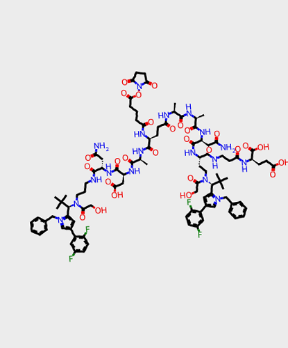 C[C@H](NC(=O)CC[C@H](NC(=O)CCCC(=O)ON1C(=O)CCC1=O)C(=O)N[C@@H](C)C(=O)N[C@@H](CC(=O)O)C(=O)N[C@@H](CC(N)=O)C(=O)NCCCN(C(=O)CO)[C@@H](c1cc(-c2cc(F)ccc2F)cn1Cc1ccccc1)C(C)(C)C)C(=O)N[C@@H](C)C(=O)N[C@@H](CC(N)=O)C(=O)N[C@@H](CCN(C(=O)CO)[C@@H](c1cc(-c2cc(F)ccc2F)cn1Cc1ccccc1)C(C)(C)C)C(=O)NCCC(=O)N[C@H](CCC(=O)O)C(=O)O